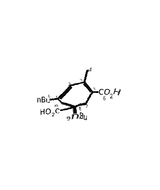 CCCCC1=CC(C)=C(C(=O)O)CC1(CCCC)C(=O)O